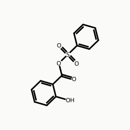 O=C(OS(=O)(=O)c1ccccc1)c1ccccc1O